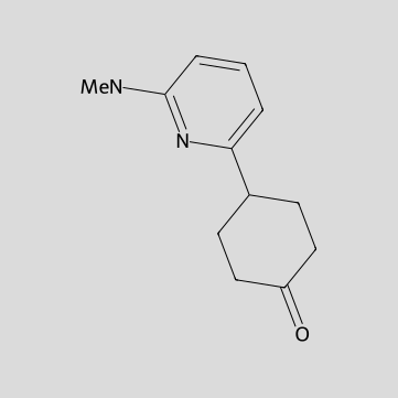 CNc1cccc(C2CCC(=O)CC2)n1